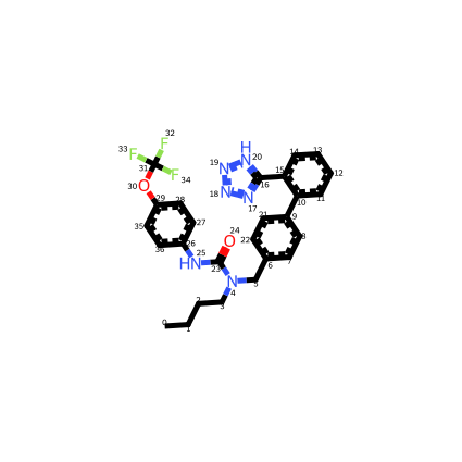 CCCCN(Cc1ccc(-c2ccccc2-c2nnn[nH]2)cc1)C(=O)Nc1ccc(OC(F)(F)F)cc1